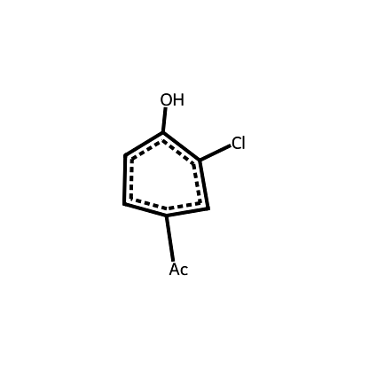 CC(=O)c1ccc(O)c(Cl)c1